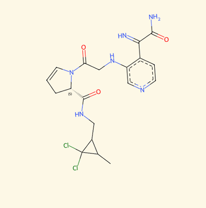 CC1C(CNC(=O)[C@@H]2CC=CN2C(=O)CNc2cnccc2C(=N)C(N)=O)C1(Cl)Cl